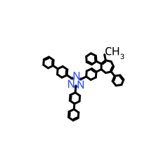 CCC1=C(C2=CCCC=C2)C(C2=CCC(c3nc(C4=CCC(C5=CC=CCC5)CC4)nc(C4C=CC(C5C=CC=CC5)CC4)n3)CC2)CC(C2=CCCC=C2)=CC1